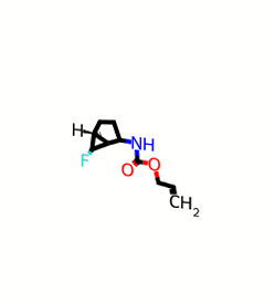 C=CCOC(=O)NC1CC[C@H]2C(F)C12